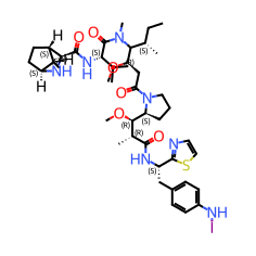 CC[C@H](C)C([C@@H](CC(=O)N1CCC[C@H]1[C@H](OC)[C@@H](C)C(=O)N[C@@H](Cc1ccc(NI)cc1)c1nccs1)OC)N(C)C(=O)[C@@H](NC(=O)[C@H]1N[C@H]2CC[C@H]1[C@@H]2C)C(C)C